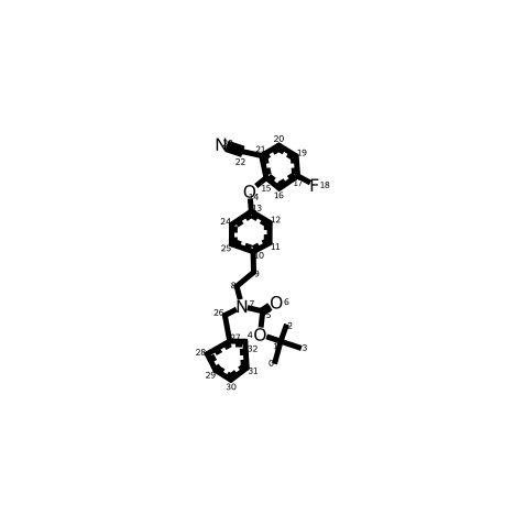 CC(C)(C)OC(=O)N(CCc1ccc(Oc2cc(F)ccc2C#N)cc1)Cc1ccccc1